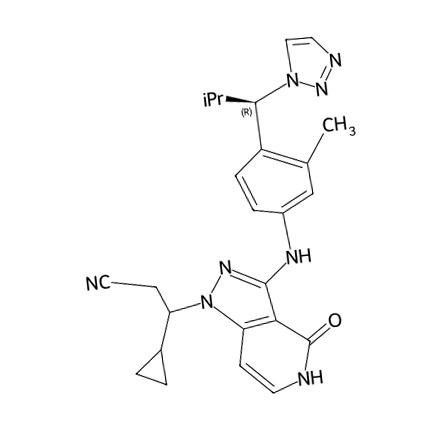 Cc1cc(Nc2nn(C(CC#N)C3CC3)c3cc[nH]c(=O)c23)ccc1[C@@H](C(C)C)n1ccnn1